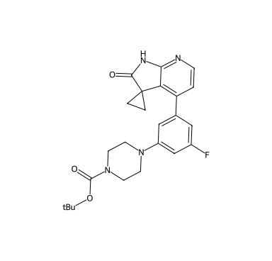 CC(C)(C)OC(=O)N1CCN(c2cc(F)cc(-c3ccnc4c3C3(CC3)C(=O)N4)c2)CC1